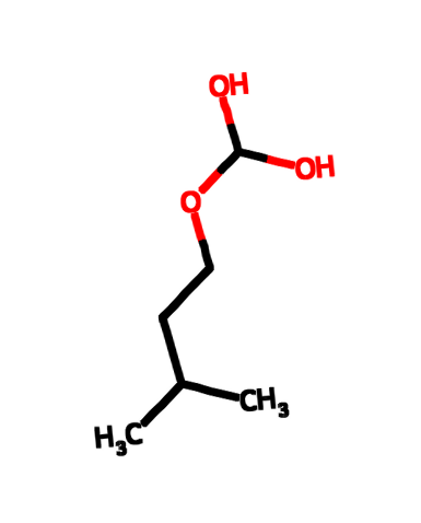 CC(C)CCOC(O)O